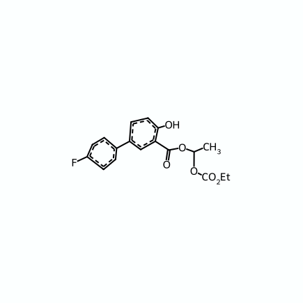 CCOC(=O)OC(C)OC(=O)c1cc(-c2ccc(F)cc2)ccc1O